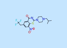 CC(C)CN1CCN(c2nc(=O)c3cc(CC(F)(F)F)cc([N+](=O)[O-])c3s2)CC1